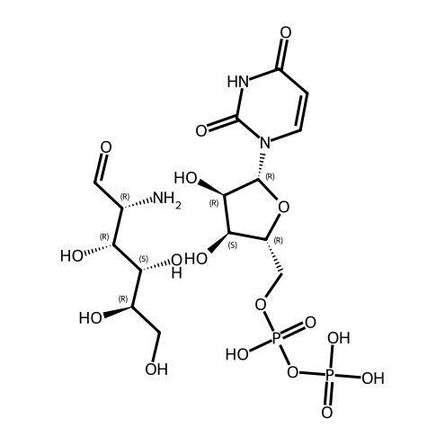 N[C@@H](C=O)[C@@H](O)[C@H](O)[C@H](O)CO.O=c1ccn([C@@H]2O[C@H](COP(=O)(O)OP(=O)(O)O)[C@@H](O)[C@H]2O)c(=O)[nH]1